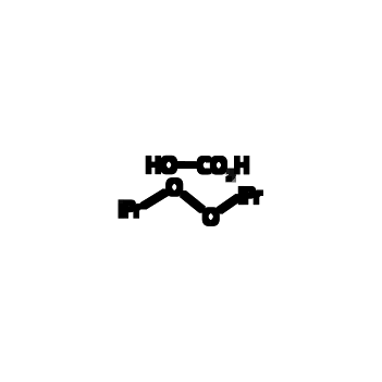 CC(C)OOC(C)C.O=C(O)O